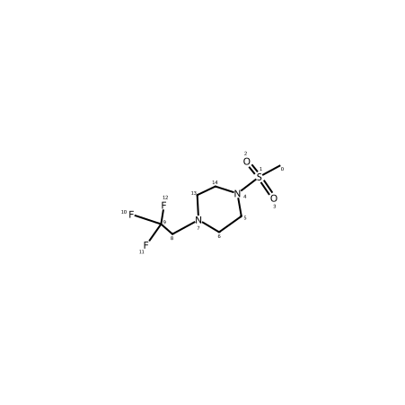 CS(=O)(=O)N1CCN(CC(F)(F)F)CC1